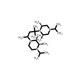 CC(C)N1C[C@@H](C)N(C(C)(C)CC(C)N2CCN(C(C)C)[C@H](C)[C@@H]2C)[C@@H](C)C1